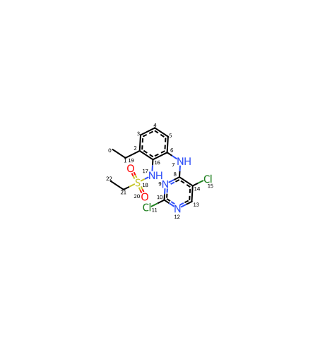 CCc1cccc(Nc2nc(Cl)ncc2Cl)c1NS(=O)(=O)CC